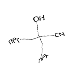 CCCC(O)(C#N)CCC